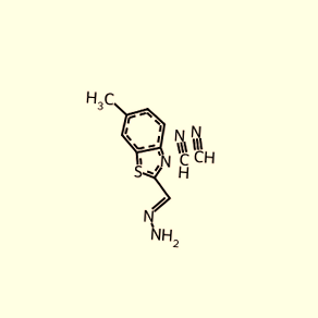 C#N.C#N.Cc1ccc2nc(C=NN)sc2c1